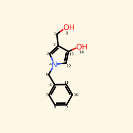 OCc1cn(Cc2ccccc2)cc1O